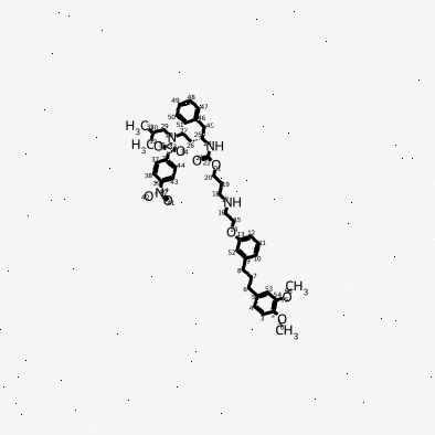 COc1ccc(CCCc2cccc(OCCNCCCOC(=O)N[C@H](CCN(CC(C)C)S(=O)(=O)c3ccc([N+](=O)[O-])cc3)Cc3ccccc3)c2)cc1OC